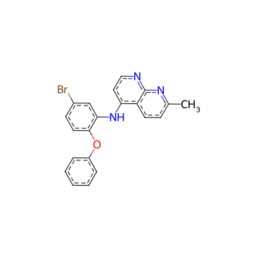 Cc1ccc2c(Nc3cc(Br)ccc3Oc3ccccc3)ccnc2n1